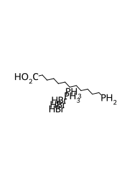 Br.Br.Br.O=C(O)CCCCCCCCCCCP.P.P